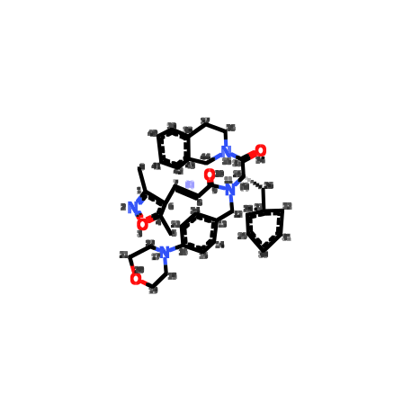 Cc1noc(C)c1/C=C/C(=O)N(Cc1ccc(N2CCOCC2)cc1)[C@@H](Cc1ccccc1)C(=O)N1CCc2ccccc2C1